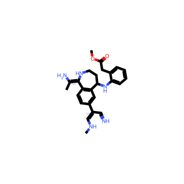 CN/C=C(\C=N)c1ccc2c(c1)C(Nc1ccccc1CC(=O)OC)CCN/C2=C(/C)N